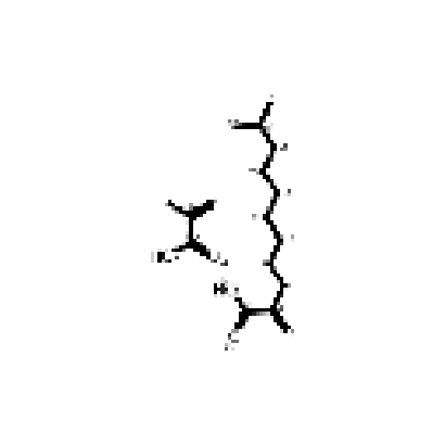 C=C(C)C(=O)O.C=C(CCCCCCCC(C)C)C(=O)O